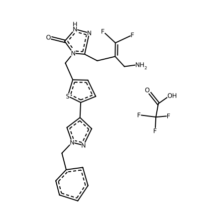 NCC(Cc1n[nH]c(=O)n1Cc1ccc(-c2cnn(Cc3ccccc3)c2)s1)=C(F)F.O=C(O)C(F)(F)F